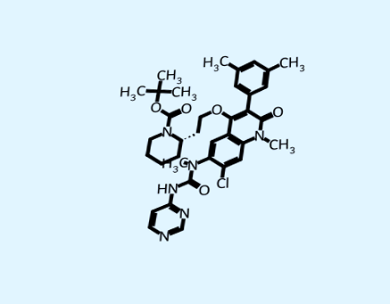 Cc1cc(C)cc(-c2c(OCC[C@@H]3CCCCN3C(=O)OC(C)(C)C)c3cc(N(C)C(=O)Nc4ccncn4)c(Cl)cc3n(C)c2=O)c1